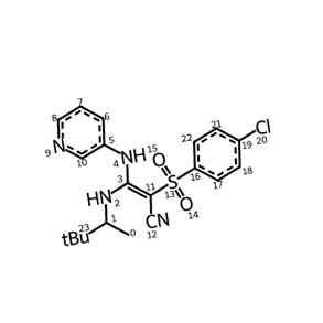 CC(NC(Nc1cccnc1)=C(C#N)S(=O)(=O)c1ccc(Cl)cc1)C(C)(C)C